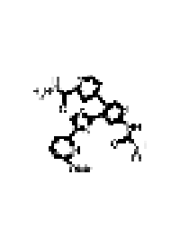 CCNC(=O)Nc1cc(-c2nc(-c3cccc(OC)n3)cs2)c(-c2ccnc(C(=O)NN)c2)cn1